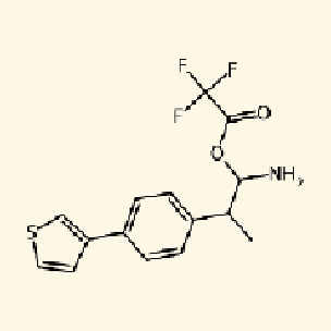 CC(c1ccc(-c2ccsc2)cc1)C(N)OC(=O)C(F)(F)F